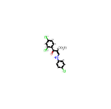 CCOC(=O)C(=CNc1ccc(Cl)cc1)C(=O)c1ccc(Cl)cc1Cl